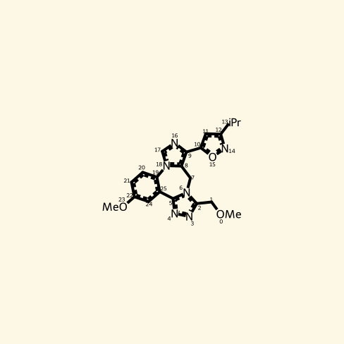 COCc1nnc2n1Cc1c(-c3cc(C(C)C)no3)ncn1-c1ccc(OC)cc1-2